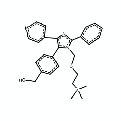 C[Si](C)(C)CCOCn1c(-c2ccccc2)nc(-c2ccncc2)c1-c1ccc(CO)cc1